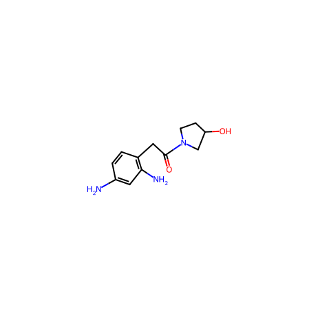 Nc1ccc(CC(=O)N2CCC(O)C2)c(N)c1